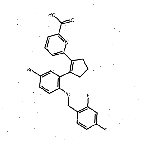 O=C(O)c1cccc(C2=C(c3cc(Br)ccc3OCc3ccc(F)cc3F)CCC2)n1